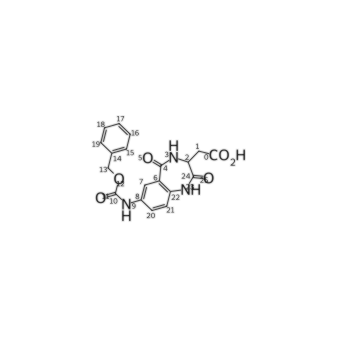 O=C(O)CC1NC(=O)c2cc(NC(=O)OCc3ccccc3)ccc2NC1=O